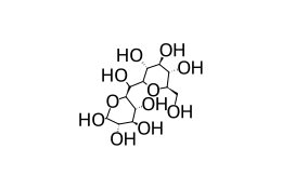 OC[C@H]1OC(C(O)[C@@H]2OC(O)[C@@H](O)[C@H](O)[C@H]2O)[C@H](O)[C@@H](O)[C@@H]1O